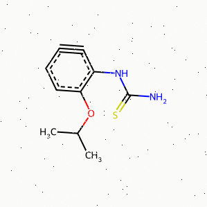 CC(C)Oc1ccc#cc1NC(N)=S